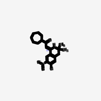 CC1(C)Cc2cc(Cl)c([N+](=O)[O-])cc2/C(=C/C(=O)C2CCCCCC2)N1